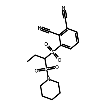 CCC(S(=O)(=O)c1cccc(C#N)c1C#N)S(=O)(=O)N1CCCCC1